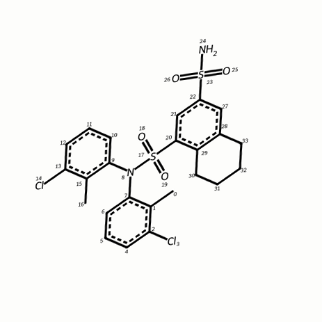 Cc1c(Cl)cccc1N(c1cccc(Cl)c1C)S(=O)(=O)c1cc(S(N)(=O)=O)cc2c1CCCC2